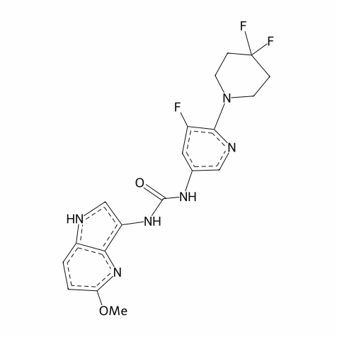 COc1ccc2[nH]cc(NC(=O)Nc3cnc(N4CCC(F)(F)CC4)c(F)c3)c2n1